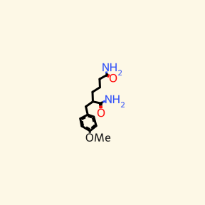 COc1ccc(CC(CCCC(N)=O)C(N)=O)cc1